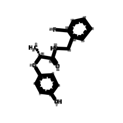 C[C@@H](Oc1ccc(O)cc1)C(=O)NCc1ccccc1F